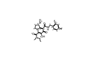 CCN(C)C(=O)c1c(O)c(=O)c(C(=O)NCc2ccc(F)cc2F)c2n1CC[C@@H]2N